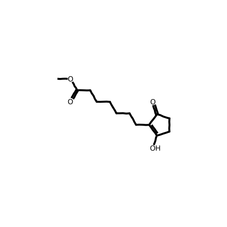 COC(=O)CCCCCCC1=C(O)CCC1=O